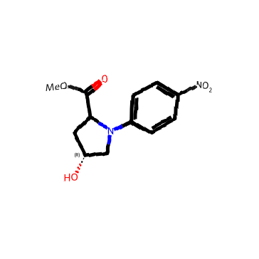 COC(=O)C1C[C@@H](O)CN1c1ccc([N+](=O)[O-])cc1